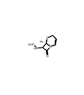 O=CNC1C(=O)N2C=CCS[C@H]12